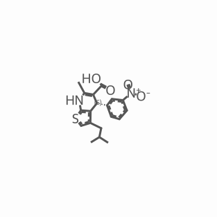 CC1=C(C(=O)O)[C@H](c2cccc([N+](=O)[O-])c2)c2c(CC(C)C)csc2N1